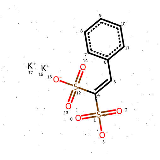 O=S(=O)([O-])C(=Cc1ccccc1)S(=O)(=O)[O-].[K+].[K+]